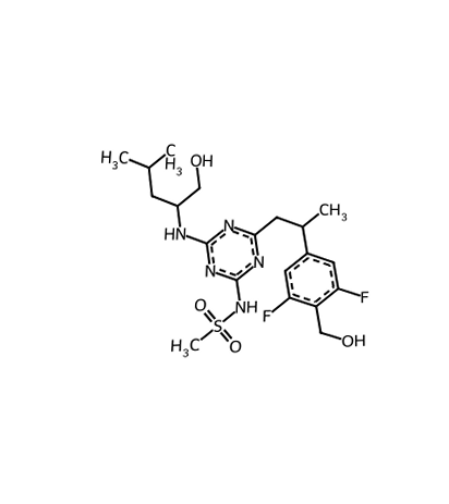 CC(C)CC(CO)Nc1nc(CC(C)c2cc(F)c(CO)c(F)c2)nc(NS(C)(=O)=O)n1